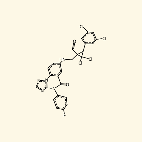 O=CC1(CNc2ccc(-n3cncn3)c(C(=O)Nc3ccc(F)cc3)c2)C(c2cc(Cl)cc(Cl)c2)C1(Cl)Cl